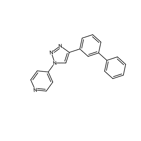 c1ccc(-c2cccc(-c3cn(-c4ccncc4)nn3)c2)cc1